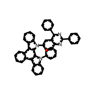 c1ccc(-c2nc(-c3ccccc3)c3cc(-n4c5ccccc5c5c6ccccc6c6c7ccccc7n(-c7ccccc7)c6c54)ccc3n2)cc1